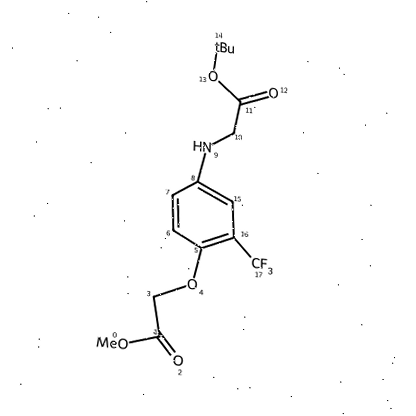 COC(=O)COc1ccc(NCC(=O)OC(C)(C)C)cc1C(F)(F)F